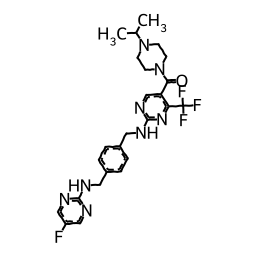 CC(C)N1CCN(C(=O)c2cnc(NCc3ccc(CNc4ncc(F)cn4)cc3)nc2C(F)(F)F)CC1